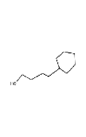 OCCCC[C]1CCCCC1